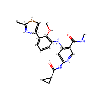 CNC(=O)c1cnc(NC(=O)C2CC2)cc1Nc1cccc(-c2csc(C)n2)c1OC